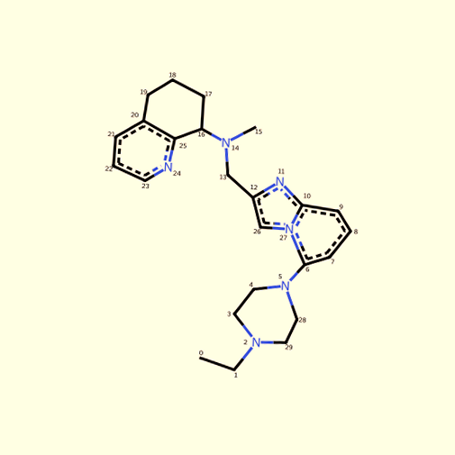 CCN1CCN(c2cccc3nc(CN(C)C4CCCc5cccnc54)cn23)CC1